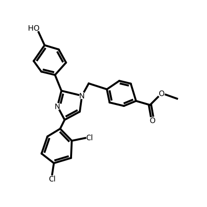 COC(=O)c1ccc(Cn2cc(-c3ccc(Cl)cc3Cl)nc2-c2ccc(O)cc2)cc1